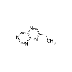 CCc1cnc2cncnc2n1